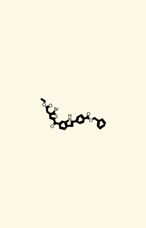 CCOC(=O)Cc1cc(C(=O)c2ccc3cc(-c4ccc(C(=O)OCc5ccccc5)cc4)[nH]c3c2)sc1Br